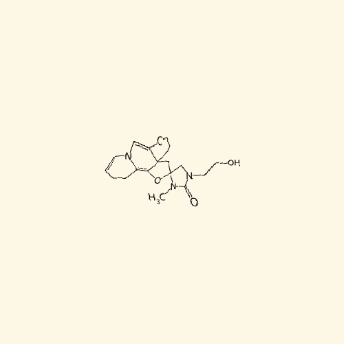 CN1C(=O)N(CCO)CC12CC13CCCCC1=CN1C=CCCC1=C3O2